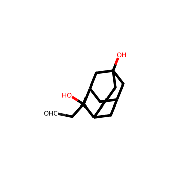 O=CCC1(O)C2CC3CC1CC(O)(C3)C2